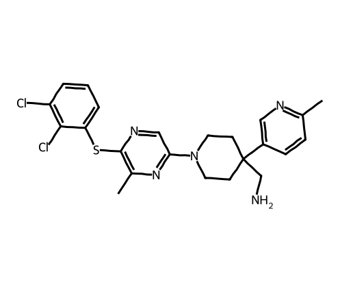 Cc1ccc(C2(CN)CCN(c3cnc(Sc4cccc(Cl)c4Cl)c(C)n3)CC2)cn1